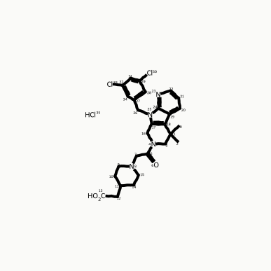 CC1(C)CN(C(=O)CN2CCC(CC(=O)O)CC2)Cc2c1c1cccnc1n2Cc1cc(Cl)cc(Cl)c1.Cl